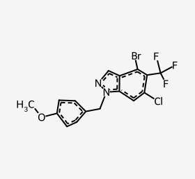 COc1ccc(Cn2ncc3c(Br)c(C(F)(F)F)c(Cl)cc32)cc1